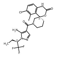 CC[C@@H](n1ncc(C(=O)N2CCC[C@@]3(C2)OC(=O)Nc2ccc(Cl)c(F)c23)c1N)C(F)(F)F